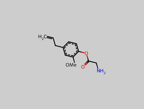 C=CCc1ccc(OC(=O)CN)c(OC)c1